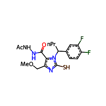 CCCC(c1ccc(F)c(F)c1)n1c(S)nc(COC)c1C(=O)NNC(C)=O